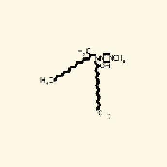 CCCCCCCCCCCCC(C)CN(CC(O)CCCCCCCCCCCC)N1CCN(C)CC1